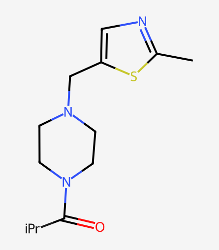 Cc1ncc(CN2CCN(C(=O)C(C)C)CC2)s1